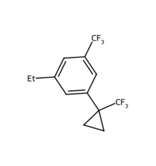 CCc1cc(C(F)(F)F)cc(C2(C(F)(F)F)CC2)c1